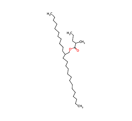 CCCCCCCCCCCCCCC(CCCCCCCCCCC)COC(=O)C(C)CCC